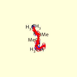 COc1cc2c(cc1OCCCCCOc1cc3c(cc1OC)C(=O)N1C=C(c4cccc(NC(=O)[C@H](C)NC(=O)[C@@H](NC(=O)CCCCCN5C(=O)C=CC5=O)C(C)C)c4)C[C@H]1C=N3)N=C[C@@H]1CC(c3ccc(OCCCN(C)C)cc3)=CN1C2=O